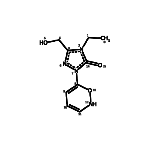 CCn1c(CO)nn(C2=CC=CNO2)c1=O